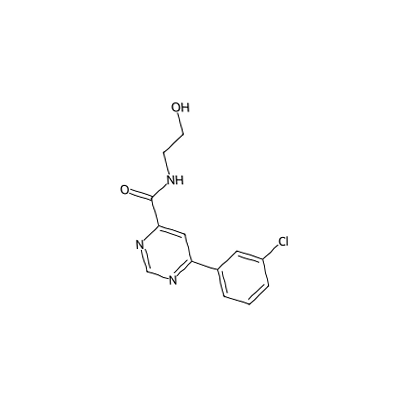 O=C(NCCO)c1cc(-c2cccc(Cl)c2)ncn1